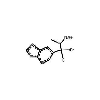 CCCC(O)(c1ccc2sccc2c1)C(C)NC